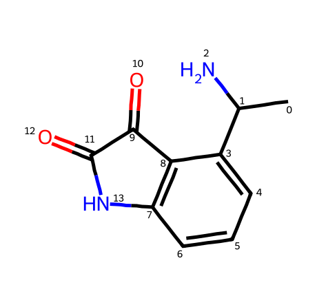 CC(N)c1cccc2c1C(=O)C(=O)N2